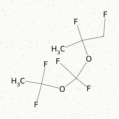 CC(F)(F)OC(F)(F)OC(C)(F)CF